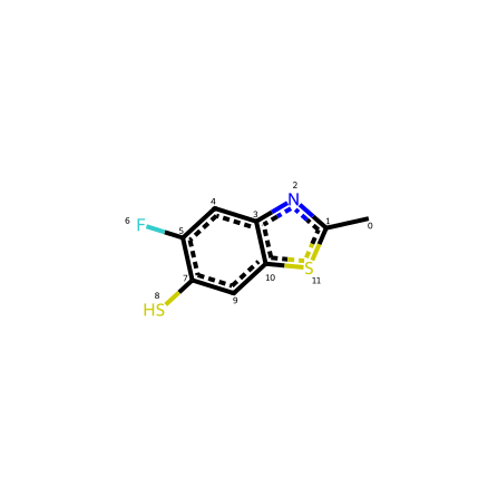 Cc1nc2cc(F)c(S)cc2s1